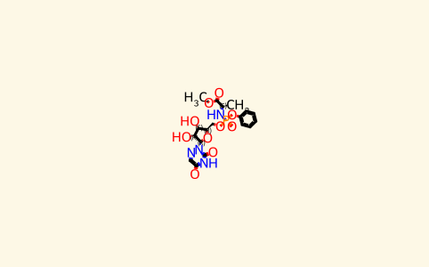 COC(=O)[C@H](C)NP(=O)(OC[C@H]1O[C@@H](n2ncc(=O)[nH]c2=O)[C@H](O)[C@@H]1O)Oc1ccccc1